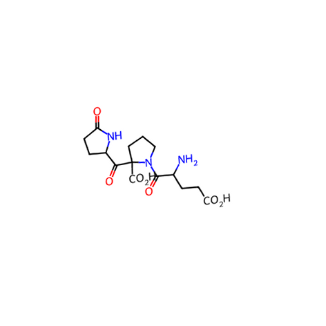 NC(CCC(=O)O)C(=O)N1CCCC1(C(=O)O)C(=O)C1CCC(=O)N1